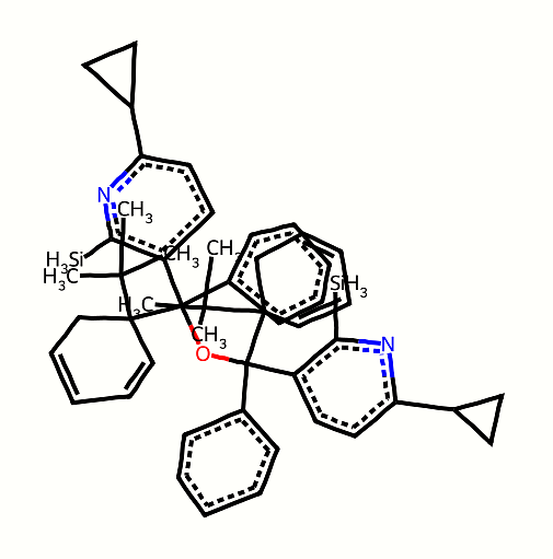 CC(C)(C)C1(C(OC(c2ccccc2)(c2ccc(C3CC3)nc2[SiH3])C2(C(C)(C)C)C=CC=CC2)(c2ccccc2)c2ccc(C3CC3)nc2[SiH3])C=CC=CC1